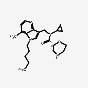 COCCCCn1cc(CN(C(=O)[C@H]2CNCCO2)C2CC2)c2nccc(C)c21